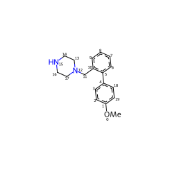 COc1ccc(-c2ccccc2CN2CCNCC2)cc1